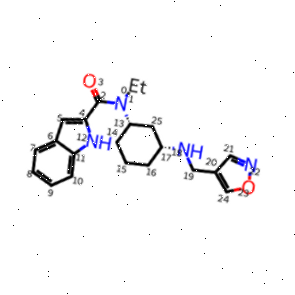 CCN(C(=O)c1cc2ccccc2[nH]1)[C@H]1CCC[C@@H](NCc2cnoc2)C1